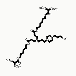 CCCCCCCCC(CCCCCC)C(=O)OCCCCCCOC(=O)CCN(CCCN1CCN(CCCO)CC1)CCC(=O)OCCCCCCOC(=O)C(CCCCCC)CCCCCCCC